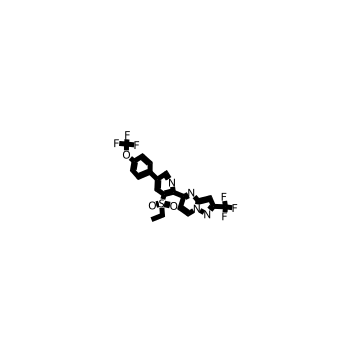 CCS(=O)(=O)c1cc(-c2ccc(OC(F)(F)F)cc2)cnc1-c1ccn2nc(C(F)(F)F)cc2n1